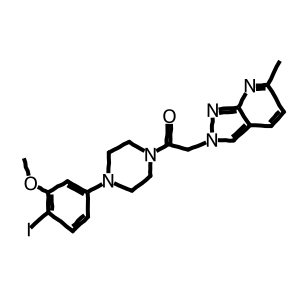 COc1cc(N2CCN(C(=O)Cn3cc4ccc(C)nc4n3)CC2)ccc1I